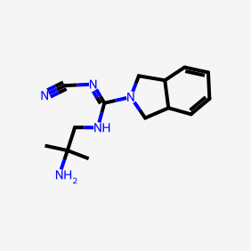 CC(C)(N)CN/C(=N\C#N)N1CC2C=CC=CC2C1